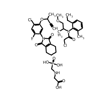 C#CC(C)Oc1cc(N2C(=O)C3=C(CCCC3)C2=O)c(F)cc1Cl.CCc1cccc(C)c1N(C(=O)CCl)C(C)COC.O=C(O)CNCP(=O)(O)O